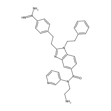 N=C(N)c1ccc(CCc2nc3cc(C(=O)N(CCN)c4cccnc4)ccc3n2CCc2ccccc2)cc1